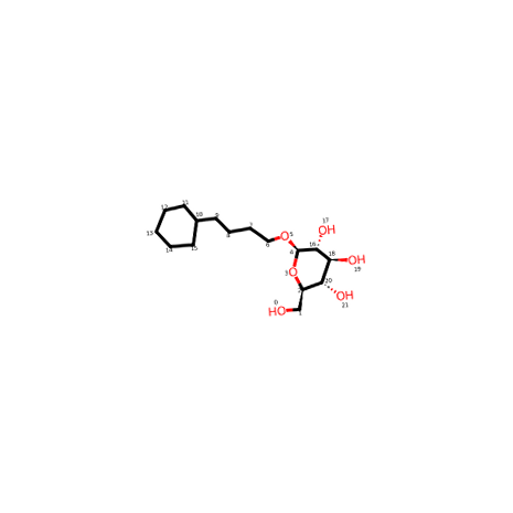 OC[C@H]1O[C@@H](OCCCCC2CCCCC2)[C@H](O)[C@@H](O)[C@@H]1O